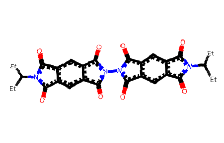 CCC(CC)n1c(=O)c2cc3c(=O)n(-n4c(=O)c5cc6c(=O)n(C(CC)CC)c(=O)c6cc5c4=O)c(=O)c3cc2c1=O